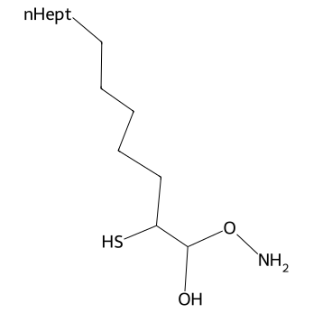 CCCCCCCCCCCCC(S)C(O)ON